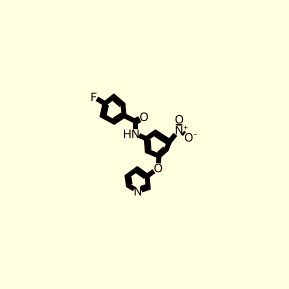 O=C(Nc1cc(Oc2cccnc2)cc([N+](=O)[O-])c1)c1ccc(F)cc1